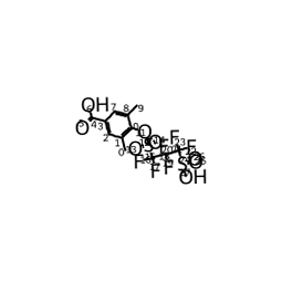 Cc1cc(C(=O)O)cc(C)c1OS(=O)(=O)C(F)(F)C(F)(F)C(F)(F)S(=O)(=O)O